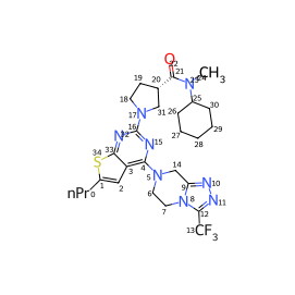 CCCc1cc2c(N3CCn4c(nnc4C(F)(F)F)C3)nc(N3CC[C@H](C(=O)N(C)C4CCCCC4)C3)nc2s1